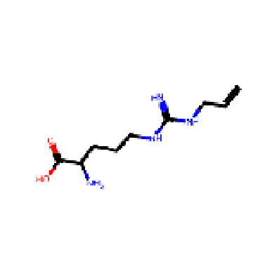 C=CCNC(=N)NCCCC(N)C(=O)O